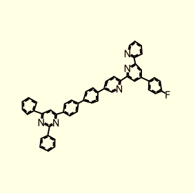 Fc1ccc(-c2cc(-c3ccccn3)nc(-c3ccc(-c4ccc(-c5ccc(-c6cc(-c7ccccc7)nc(-c7ccccc7)n6)cc5)cc4)cn3)c2)cc1